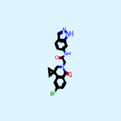 O=C(CN1CC2(CC2)c2cc(Br)ccc2C1=O)Nc1ccc2cn[nH]c2c1